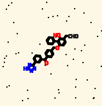 O=CCc1ccc(OCc2ccc(C(=O)c3cccc(-c4nn[nH]n4)c3)cc2)c(-c2ccccc2)c1O